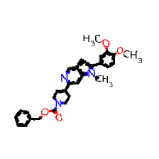 COc1ccc(-c2cc3cnc(C4=CCN(C(=O)OCc5ccccc5)CC4)cc3n2C)cc1OC